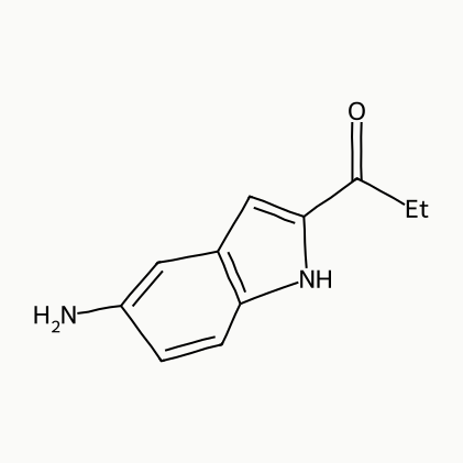 CCC(=O)c1cc2cc(N)ccc2[nH]1